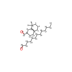 CC1(C)CCCC2=C1CC(C=O)CC2.CCCCCCCCCCCCC=O